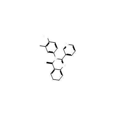 C=C1C2=CCCC=C2N=C(c2cccnc2)N1c1ccc(CC)c(C)c1